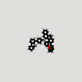 CC1(C)c2ccc(-c3ccccc3)cc2-c2c(N(c3ccc(-c4ccccc4)cc3)c3ccc(-c4cccc5c4oc4ccccc45)cc3)cc3ccccc3c21